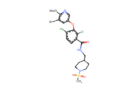 COc1ncc(Oc2c(Cl)ccc(C(=O)NCC3CCN(S(C)(=O)=O)CC3)c2Cl)cc1C(C)C